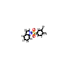 Cc1ccc(S(=O)(=O)n2c[c]c3ccccc32)cc1C